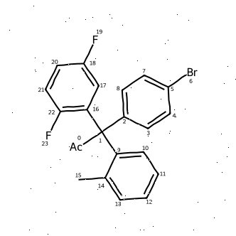 CC(=O)C(c1ccc(Br)cc1)(c1ccccc1C)c1cc(F)ccc1F